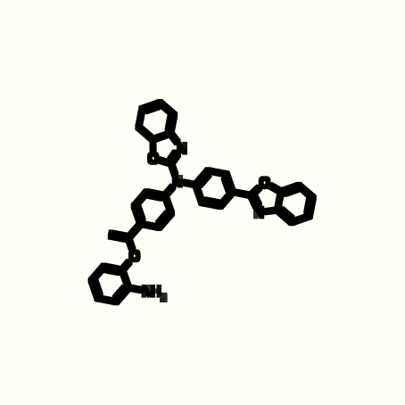 C=C(Oc1ccccc1N)c1ccc(N(C2=NC3=CC=CCC3O2)c2ccc(-c3nc4ccccc4o3)cc2)cc1